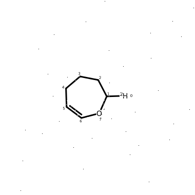 [2H]C1CCCC=CO1